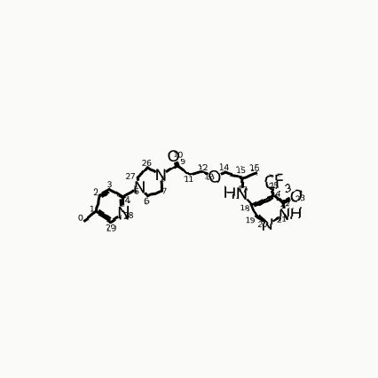 Cc1ccc(N2CCN(C(=O)CCOCC(C)Nc3cn[nH]c(=O)c3C(F)(F)F)CC2)nc1